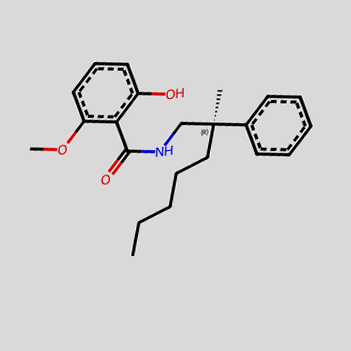 CCCCC[C@@](C)(CNC(=O)c1c(O)cccc1OC)c1ccccc1